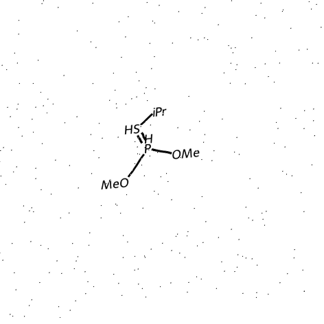 CO[PH](OC)=[SH]C(C)C